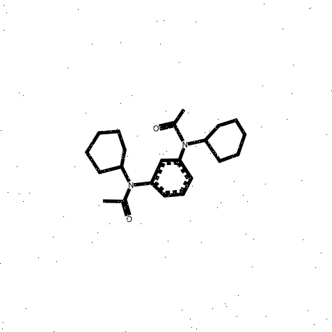 CC(=O)N(c1cccc(N(C(C)=O)C2CCCCC2)c1)C1CCCCC1